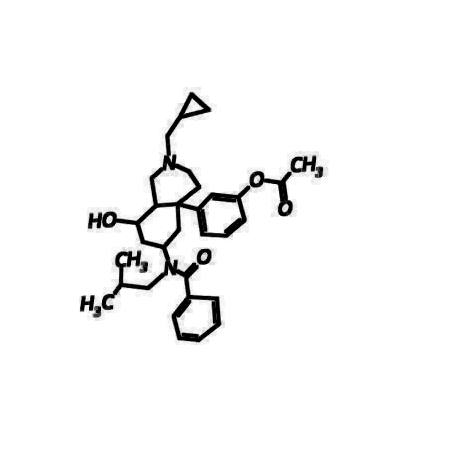 CC(=O)Oc1cccc(C23CCN(CC4CC4)CC2C(O)CC(N(CC(C)C)C(=O)c2ccccc2)C3)c1